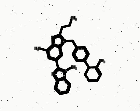 CCCc1nc2c(C)cc(-c3nc4ccccc4n3C)cc2n1Cc1ccc(C2CC=CC=C2C)cc1